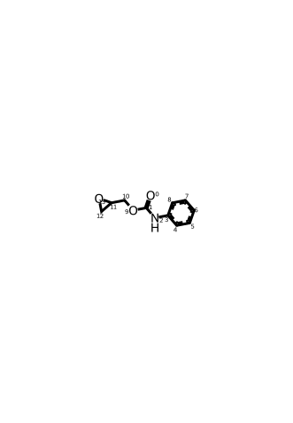 O=C(Nc1ccccc1)OCC1CO1